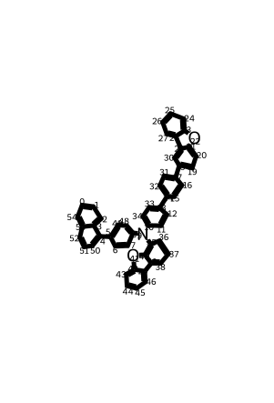 c1ccc2c(-c3ccc(N(c4ccc(-c5ccc(-c6ccc7oc8ccccc8c7c6)cc5)cc4)c4cccc5c4oc4ccccc45)cc3)cccc2c1